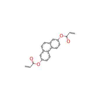 C=CC(=O)Oc1ccc2c(ccc3cc(OC(=O)C=C)ccc32)c1